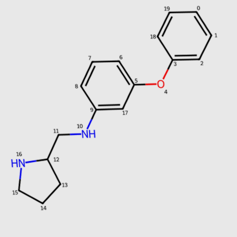 c1ccc(Oc2cccc(NCC3CCCN3)c2)cc1